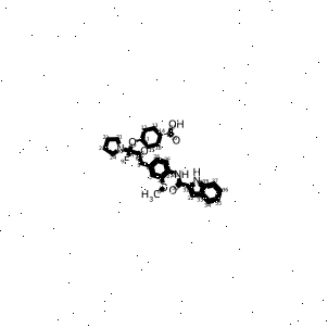 COc1cc(CC(=O)C(F)(O[C@H]2CC[C@H](C(=O)O)CC2)N2CCCC2)ccc1NC(=O)c1cc2ccccc2[nH]1